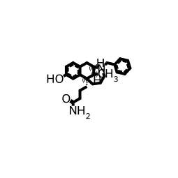 C[C@H]1[C@H]2Cc3ccc(O)cc3[C@]1(CCCC(N)=O)CCCN2Cc1ccccc1